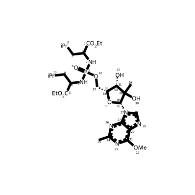 CCOC(=O)C(CC(C)C)NP(=O)(NC(CC(C)C)C(=O)OCC)OC[C@H]1O[C@@H](n2cnc3c(OC)nc(C)nc32)C(C)(O)[C@H]1O